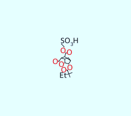 CCC(C)(C)C(=O)OC1C2CC3C1OC(=O)C3C2C(=O)OCCS(=O)(=O)O